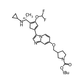 C[C@@H](NC1CC1)C1=C(OC(F)F)C=C(c2cnc3cc(OCC4CCN(C(=O)OC(C)(C)C)C4)ccn23)C1